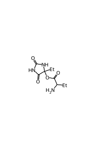 CCC(N)C(=O)OC1(CC)NC(=O)NC1=O